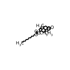 CCCCCCCCCCOC(=O)O[C@H]1CC=C2[C@H]3[C@H]([C@@H](C)C[C@@]21C)[C@H]1CCC(=O)C=C1C[C@H]3C